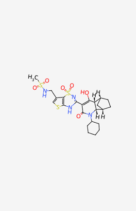 CS(=O)(=O)NCc1csc2c1S(=O)(=O)N=C(C1=C(O)[C@@H]3[C@@H]4CC[C@@H](C4)[C@@H]3N(C3CCCCC3)C1=O)N2